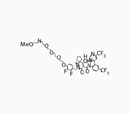 COCCN(C)CCOCCOCCOCCOc1ccc(CN2C(=O)C(C(=O)Nc3ccc(C(F)(F)F)cc3-c3cc(C(F)(F)F)ncn3)=C(O)C3(CCCC3)N2C)c(F)c1F